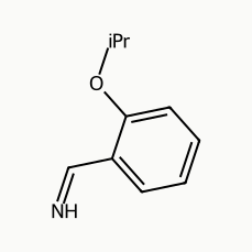 CC(C)Oc1ccccc1C=N